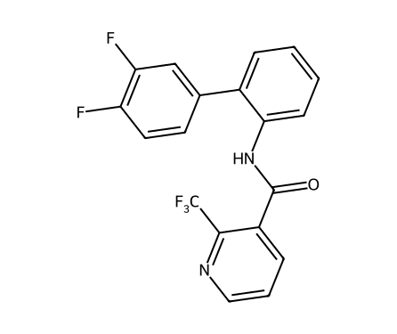 O=C(Nc1ccccc1-c1ccc(F)c(F)c1)c1cccnc1C(F)(F)F